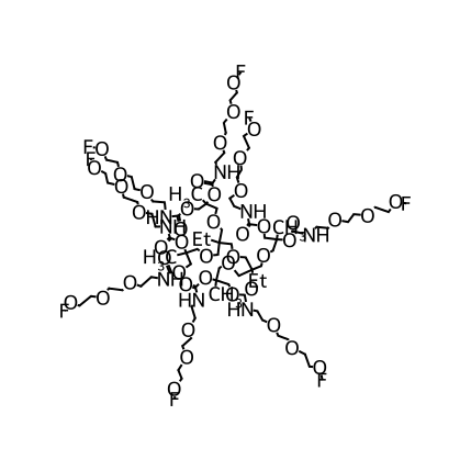 CCC(COCC(CC)(COCC(C)(COC(=O)NCCOCCOCCOF)OC(=O)NCCOCCOCCOF)COCC(C)(COC(=O)NCCOCCOCCOF)OC(=O)NCCOCCOCCOF)(COCC(C)(COC(=O)NCCOCCOCCOF)OC(=O)NCCOCCOCCOF)COCC(C)(COC(=O)NCCOCCOCCOF)OC(=O)NCCOCCOCCOF